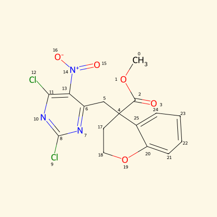 COC(=O)C1(Cc2nc(Cl)nc(Cl)c2[N+](=O)[O-])CCOc2ccccc21